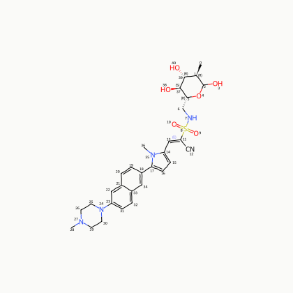 C[C@H]1C(O)O[C@H](CNS(=O)(=O)/C(C#N)=C/c2ccc(-c3ccc4cc(N5CCN(C)CC5)ccc4c3)n2C)[C@@H](O)[C@@H]1O